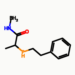 BNC(=O)C(C)PCCc1ccccc1